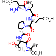 CC(C)C[C@H](NC(=O)[C@@H](N)CC(=O)O)C(=O)N[C@@H](CCC(=O)O)C(=O)N1CCC[C@H]1C(=O)N[C@H](C(=O)N[C@H](C(=O)O)C(C)C)[C@@H](C)O